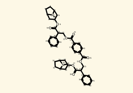 CN1C2CCC1CC(OC(=O)C(COC(=O)c1ccc(C(=O)OCC(C(=O)OC3CC4CCC(C3)N4C)c3ccccc3)cc1)c1ccccc1)C2